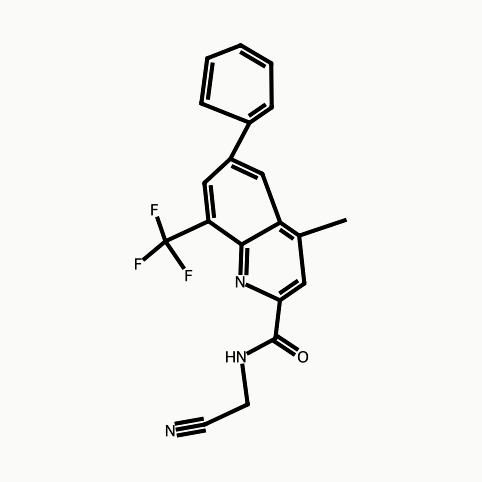 Cc1cc(C(=O)NCC#N)nc2c(C(F)(F)F)cc(-c3ccccc3)cc12